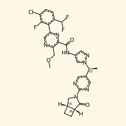 COCc1ncc(-c2c(C(F)F)ccc(Cl)c2F)nc1C(=O)Nc1cnn([C@@H](C)c2cnc(N3C[C@H]4CC[C@H]4C3=O)nc2)c1